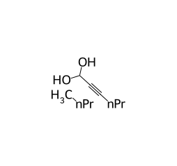 CCCC.CCCC#CC(O)O